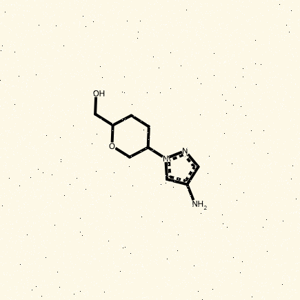 Nc1cnn(C2CCC(CO)OC2)c1